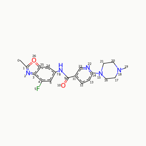 Cc1nc2c(F)cc(NC(=O)c3ccc(N4CCN(C)CC4)nc3)cc2o1